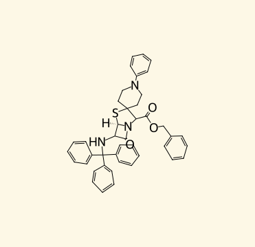 O=C(OCc1ccccc1)C1N2C(=O)C(NC(c3ccccc3)(c3ccccc3)c3ccccc3)[C@H]2SC12CCN(c1ccccc1)CC2